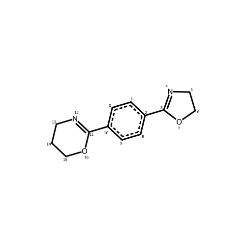 c1cc(C2=NCCO2)ccc1C1=NCCCO1